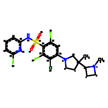 CN1CCC1C1(C)CCN(c2cc(F)c(S(=O)(=O)Nc3cccc(F)n3)c(F)c2Cl)C1